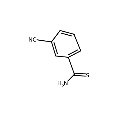 N#Cc1cccc(C(N)=S)c1